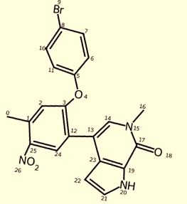 Cc1cc(Oc2ccc(Br)cc2)c(-c2cn(C)c(=O)c3[nH]ccc23)cc1[N+](=O)[O-]